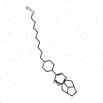 CCOCCCCCCCCCN1CCC(c2cnc(N3C4CCC3CN(CC)CC4)nc2)CC1